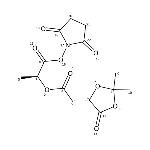 C[C@H](OC(=O)C[C@@H]1OC(C)(C)OC1=O)C(=O)ON1C(=O)CCC1=O